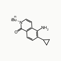 CC[C@@H](C)n1ccc2c(N)c(C3CC3)ccc2c1=O